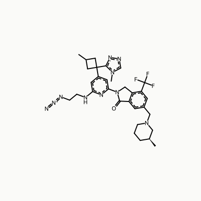 CC1CC(c2cc(NCCN=[N+]=[N-])nc(N3Cc4c(cc(CN5CCC[C@H](C)C5)cc4C(F)(F)F)C3=O)c2)(c2nncn2C)C1